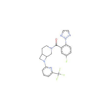 O=C(c1cc(F)ccc1-n1nccn1)N1CCC2CN(c3cccc(C(F)(F)F)n3)C2C1